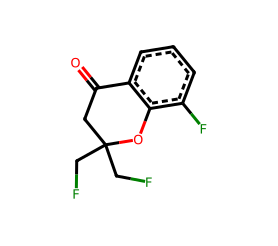 O=C1CC(CF)(CF)Oc2c(F)cccc21